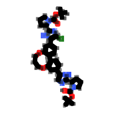 CC(C)(C)OC(=O)N1CCC[C@H]1c1ncc(-c2ccc3c(c2)OCCCOc2cc(-c4[nH]c([C@@H]5CCCN5C(=O)OC(C)(C)C)nc4Cl)ccc2-3)[nH]1